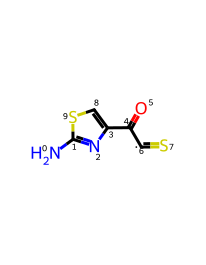 Nc1nc(C(=O)[C]=S)cs1